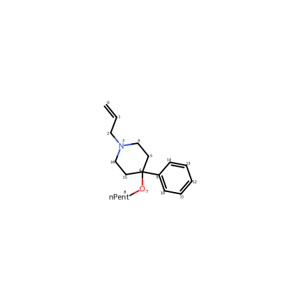 C=CCN1CCC(OCCCCC)(c2ccccc2)CC1